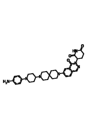 Nc1ccc(N2CCC(N3CCC4(CCN(c5ccc6cnn(C7CCC(=O)NC7=O)c(=O)c6c5)CC4)CC3)CC2)cc1